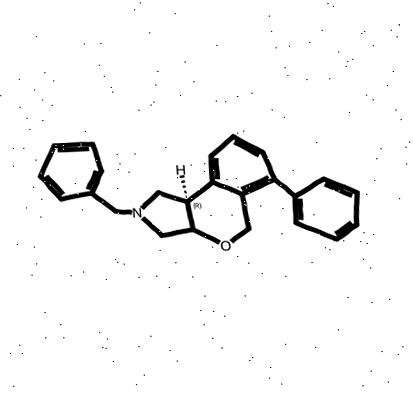 c1ccc(CN2CC3OCc4c(-c5ccccc5)cccc4[C@@H]3C2)cc1